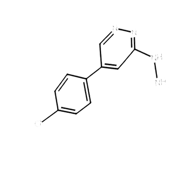 NNc1cc(-c2ccc(Cl)cc2)cnn1